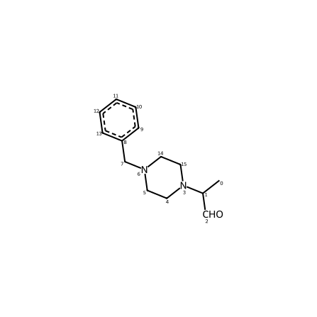 CC(C=O)N1CCN(Cc2ccccc2)CC1